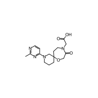 Cc1nccc(N2CCCC3(CCN(CC(=O)O)C(=O)CO3)C2)n1